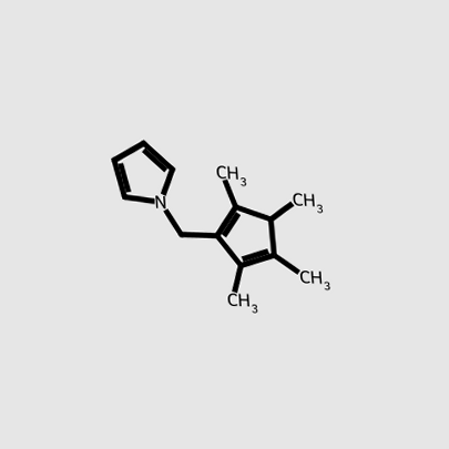 CC1=C(C)C(C)C(C)=C1Cn1cccc1